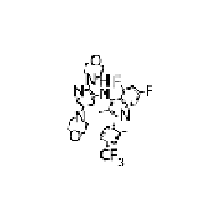 Cc1cc(C(F)(F)F)ccc1-c1nc2cc(F)cc(F)c2c(Nc2cc(N3CCOCC3)cnc2N2CCOCC2)c1C